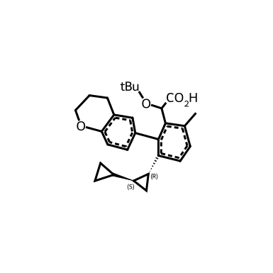 Cc1ccc([C@@H]2C[C@H]2C2CC2)c(-c2ccc3c(c2)CCCO3)c1C(OC(C)(C)C)C(=O)O